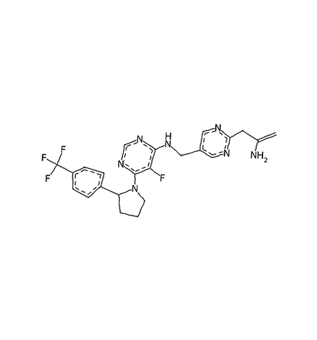 C=C(N)Cc1ncc(CNc2ncnc(N3CCCC3c3ccc(C(F)(F)F)cc3)c2F)cn1